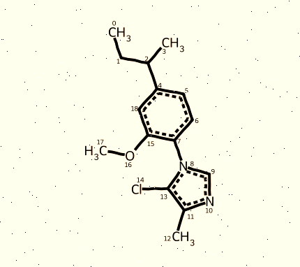 CCC(C)c1ccc(-n2cnc(C)c2Cl)c(OC)c1